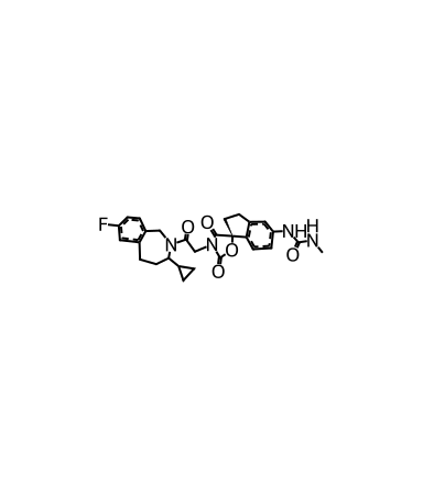 CNC(=O)Nc1ccc2c(c1)CC[C@]21OC(=O)N(CC(=O)N2Cc3ccc(F)cc3CCC2C2CC2)C1=O